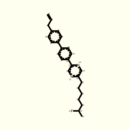 C=CCc1ccc(-c2ccc(-c3cnc(CCCCCC(C)F)cn3)cc2)cc1